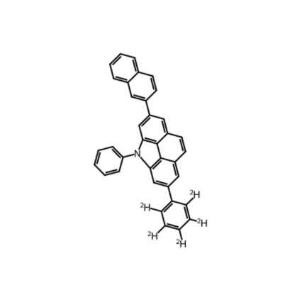 [2H]c1c([2H])c([2H])c(-c2cc3ccc4cc(-c5ccc6ccccc6c5)cc5c4c3c(c2)n5-c2ccccc2)c([2H])c1[2H]